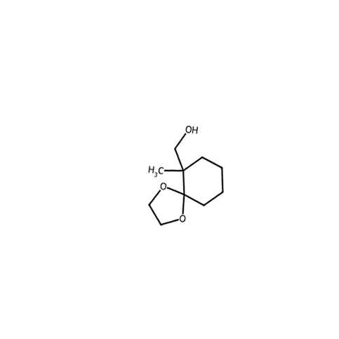 CC1(CO)CCCCC12OCCO2